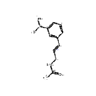 CCCC[S+]([O-])c1cccc(/C=C/CNC(=O)C(F)(F)F)c1